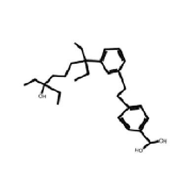 CCC(O)(CC)CCCC(CC)(CC)c1cccc(CCc2ccc(C(O)O)cc2)c1